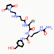 CC(C)C(NC(=O)CCNCCN1C(=O)C=CC1=O)C(=O)N[C@@H](CCCNC(N)=O)C(=O)Nc1ccc(CO)cc1